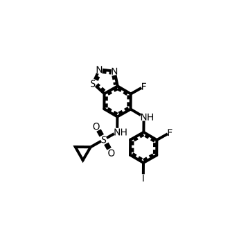 O=S(=O)(Nc1cc2snnc2c(F)c1Nc1ccc(I)cc1F)C1CC1